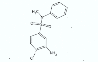 CN(c1ccccc1)S(=O)(=O)c1ccc(Cl)c(N)c1